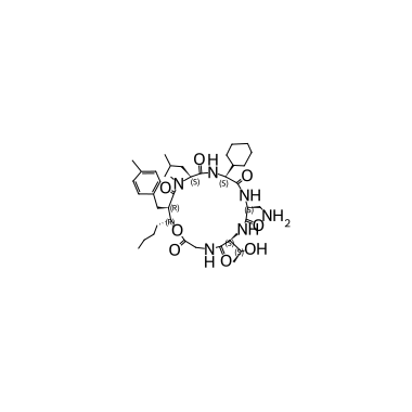 CCCC[C@H]1OC(=O)CNC(=O)[C@H]([C@H](C)O)NC(=O)[C@H](CN)NC(=O)[C@H](C2CCCCC2)NC(=O)[C@H](CC(C)C)N(C)C(=O)[C@@H]1Cc1ccc(C)cc1